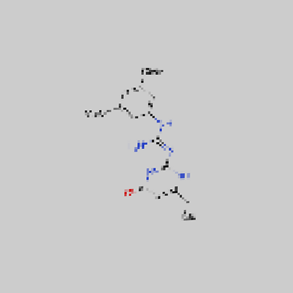 COc1cc(N/C(N)=N/c2nc(=O)cc(CC(C)(C)C)[nH]2)cc(OC)c1